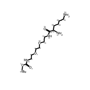 CC(C)(C)OC(=O)NCCOCCOCCNC(=O)C(N)CCCCN